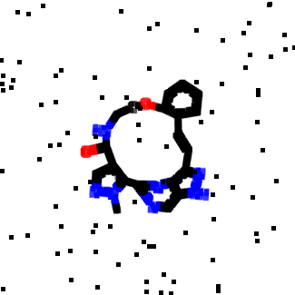 Cn1ncc2c1-c1ncc3[nH]nc(c3n1)/C=C/c1ccccc1OCCNC2=O